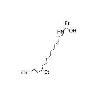 CCCCCCCCCCCCC(CC)CCCCCCCCCCNC(O)CC